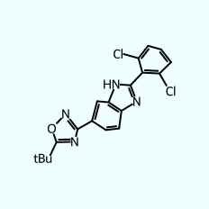 CC(C)(C)c1nc(-c2ccc3nc(-c4c(Cl)cccc4Cl)[nH]c3c2)no1